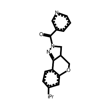 CC(C)c1ccc2c(c1)OCC1CN(C(=O)c3cccnc3)N=C21